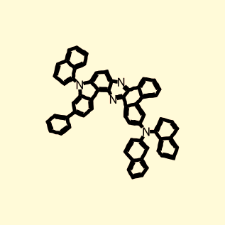 c1ccc(-c2ccc3c4c5nc6c7ccc(N(c8ccc9ccccc9c8)c8cccc9ccccc89)cc7c7ccccc7c6nc5ccc4n(-c4cccc5ccccc45)c3c2)cc1